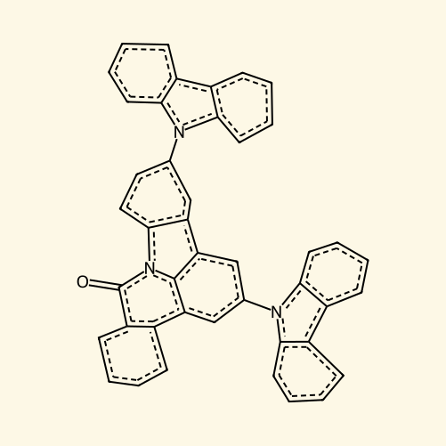 O=c1c2ccccc2c2cc(-n3c4ccccc4c4ccccc43)cc3c4cc(-n5c6ccccc6c6ccccc65)ccc4n1c23